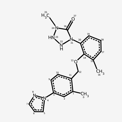 Cc1cc(-n2cccn2)ccc1COc1c(C)cccc1N1NNN(C)C1=O